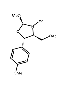 CO[C@@H]1O[C@@H](c2ccc(SC)cc2)[C@H](COC(C)=O)N1C(C)=O